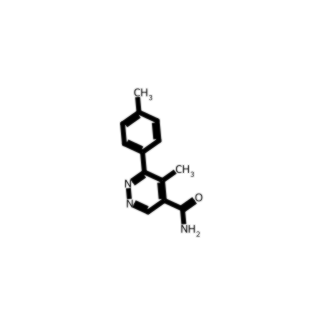 Cc1ccc(-c2nncc(C(N)=O)c2C)cc1